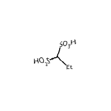 [CH2]CC(S(=O)(=O)O)S(=O)(=O)O